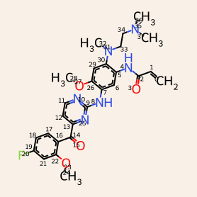 C=CC(=O)Nc1cc(Nc2nccc(C(=O)c3ccc(F)cc3OC)n2)c(OC)cc1N(C)CCN(C)C